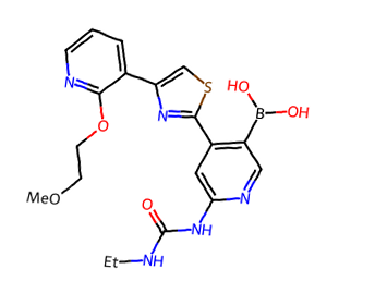 CCNC(=O)Nc1cc(-c2nc(-c3cccnc3OCCOC)cs2)c(B(O)O)cn1